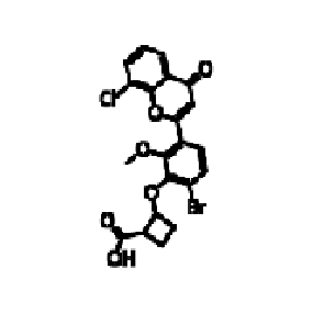 COc1c(-c2cc(=O)c3cccc(Cl)c3o2)ccc(Br)c1OC1CCC1C(=O)O